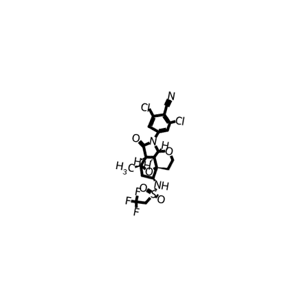 C[C@@]12C[C@H](NS(=O)(=O)CC(F)(F)F)[C@]3(CCO[C@H]4[C@@H]3[C@@H]1C(=O)N4c1cc(Cl)c(C#N)c(Cl)c1)O2